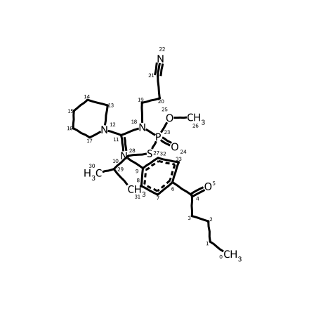 CCCCC(=O)c1ccc(N=C(N2CCCCC2)N(CCC#N)P(=O)(OC)SCC(C)C)cc1